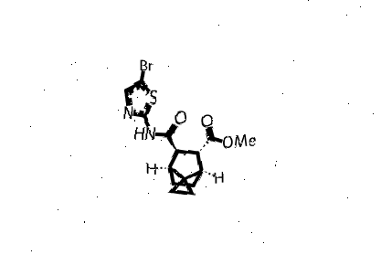 COC(=O)[C@H]1[C@H](C(=O)Nc2ncc(Br)s2)[C@@H]2CC[C@H]1C21CC1